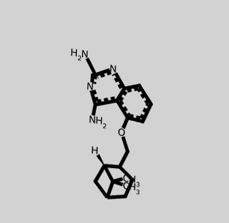 CC1(C)C2CCC(COc3cccc4nc(N)nc(N)c34)[C@H]1C2